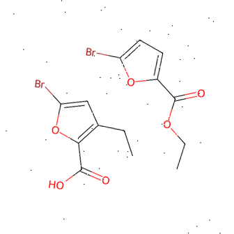 CCOC(=O)c1ccc(Br)o1.CCc1cc(Br)oc1C(=O)O